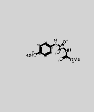 COC(=O)NS(=O)(=O)Nc1ccc([C]=O)cc1